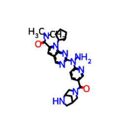 CN(C)C(=O)c1cc2cnc(N(N)c3ccc(C(=O)N4CC5CNC(C5)C4)cn3)nc2n1C1CCCC1